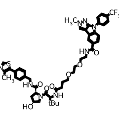 Cc1ncsc1-c1ccc(CNC(=O)[C@@H]2C[C@@H](O)CN2C(=O)C(NC(=O)CCCOCCOCCNC(=O)c2ccc3c(c2)c2cn(C)nc2n3-c2ccc(C(F)(F)F)cc2)C(C)(C)C)cc1